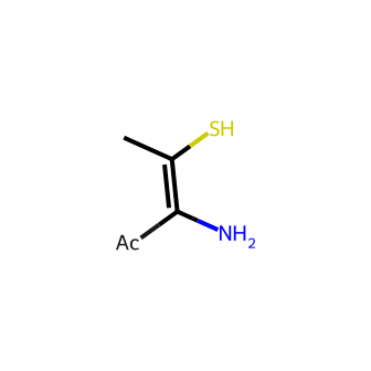 CC(=O)/C(N)=C(\C)S